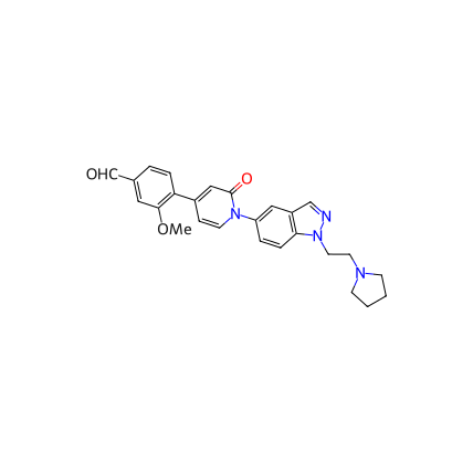 COc1cc(C=O)ccc1-c1ccn(-c2ccc3c(cnn3CCN3CCCC3)c2)c(=O)c1